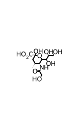 C[C@@H]1C[C@](O)(C(=O)O)OC([C@H](O)[C@H](O)CO)[C@@H]1NC(=O)CO